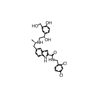 C[C@H](Cc1ccc2[nH]c(C(=O)NCc3ccc(Cl)cc3Cl)cc2c1)NC[C@H](O)c1ccc(O)c(CO)c1